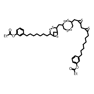 CCC(=O)Oc1cccc(CCCCCCCC2SSC(CC3CSSCC(CC4SC4CC4SC4CCCCCCCc4cccc(OC(=O)CC)c4)SS3)C3CC2S3)c1